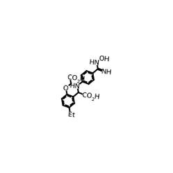 CCc1ccc(OCC(=O)O)c(C(Nc2ccc(C(=N)NO)cc2)C(=O)O)c1